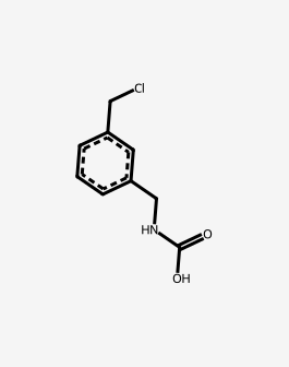 O=C(O)NCc1cccc(CCl)c1